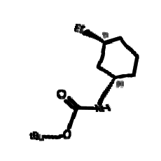 CC[C@H]1CCC[C@@H](NC(=O)OC(C)(C)C)C1